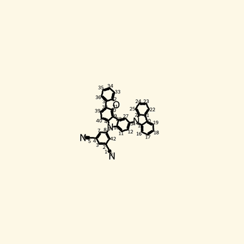 N#Cc1cc(C#N)cc(-n2c3ccc(-n4c5ccccc5c5ccccc54)cc3c3c4oc5ccccc5c4ccc32)c1